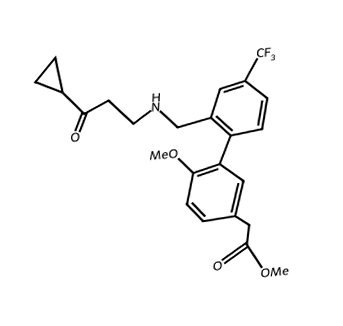 COC(=O)Cc1ccc(OC)c(-c2ccc(C(F)(F)F)cc2CNCCC(=O)C2CC2)c1